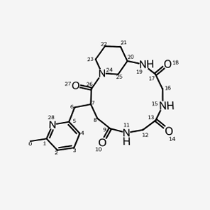 Cc1cccc(CC2CC(=O)NCC(=O)NCC(=O)NC3CCCN(C3)C2=O)n1